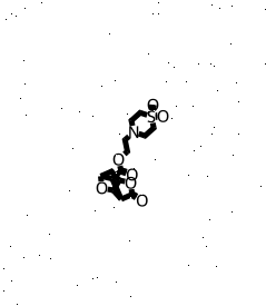 O=C(OCCN1CCS(=O)(=O)CC1)C1C2CC3OC(=O)C1C3O2